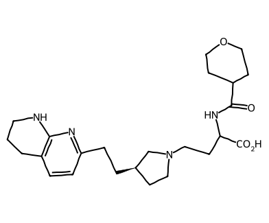 O=C(NC(CCN1CC[C@@H](CCc2ccc3c(n2)NCCC3)C1)C(=O)O)C1CCOCC1